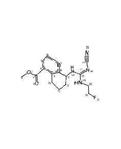 COC(=O)c1cccc2c1CCCC2N/C(=N\C#N)NCCF